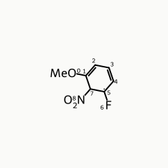 COC1=CC=C[C](F)C1[N+](=O)[O-]